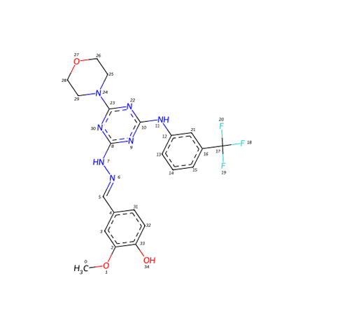 COc1cc(/C=N/Nc2nc(Nc3cccc(C(F)(F)F)c3)nc(N3CCOCC3)n2)ccc1O